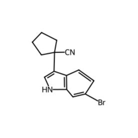 N#CC1(c2c[nH]c3cc(Br)ccc23)CCCC1